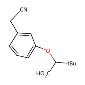 CC(C)(C)C(Oc1cccc(CC#N)c1)C(=O)O